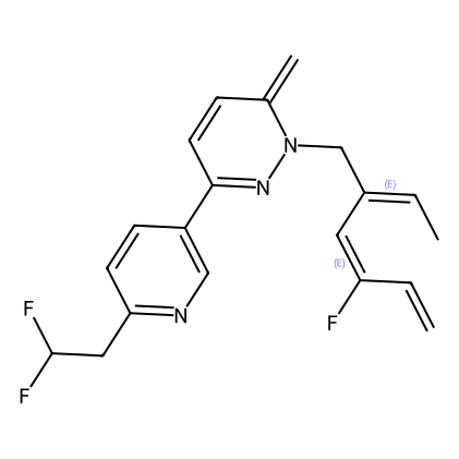 C=C/C(F)=C\C(=C/C)CN1N=C(c2ccc(CC(F)F)nc2)C=CC1=C